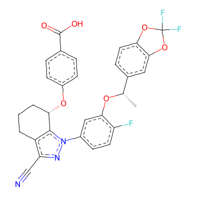 C[C@H](Oc1cc(-n2nc(C#N)c3c2[C@@H](Oc2ccc(C(=O)O)cc2)CCC3)ccc1F)c1ccc2c(c1)OC(F)(F)O2